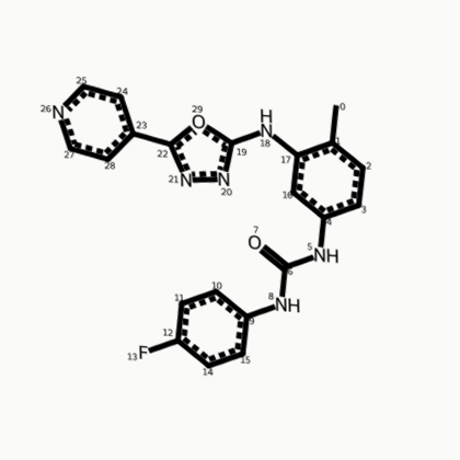 Cc1ccc(NC(=O)Nc2ccc(F)cc2)cc1Nc1nnc(-c2ccncc2)o1